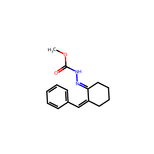 COC(=O)NN=C1CCCCC1=Cc1ccccc1